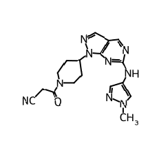 Cn1cc(Nc2ncc3cnn(C4CCN(C(=O)CC#N)CC4)c3n2)cn1